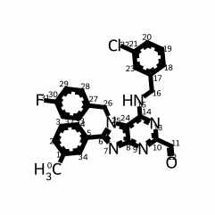 Cc1cccc(-c2nc3nc(C=O)nc(NCc4cccc(Cl)c4)c3n2Cc2ccc(F)cc2)c1